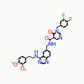 COc1ccc(CCNc2ncnc3ccc(CNC(=O)c4cncn(Cc5ccc(F)c(F)c5)c4=O)cc23)cc1OC